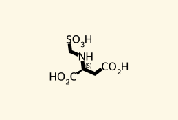 O=C(O)C[C@H](NCS(=O)(=O)O)C(=O)O